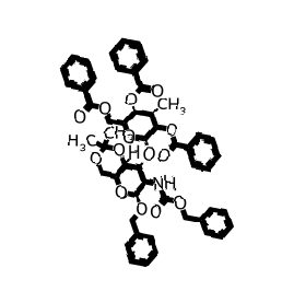 C[C@@H]1C(OC(=O)c2ccccc2)[C@H](O[C@@H]2C(NC(=O)OCc3ccccc3)[C@@H](OCc3ccccc3)OC3COC(C)(C)O[C@H]32)OC(COC(=O)c2ccccc2)[C@@H]1OC(=O)c1ccccc1